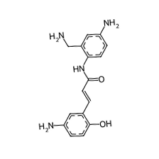 NCc1cc(N)ccc1NC(=O)C=Cc1cc(N)ccc1O